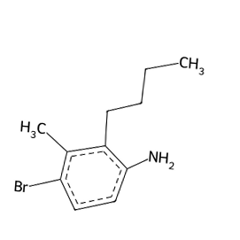 CCCCc1c(N)ccc(Br)c1C